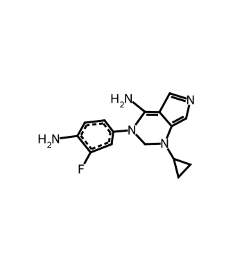 NC1=C2C=NC=C2N(C2CC2)CN1c1ccc(N)c(F)c1